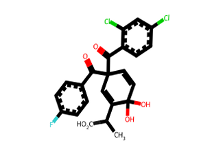 CC(C(=O)O)C1=CC(C(=O)c2ccc(F)cc2)(C(=O)c2ccc(Cl)cc2Cl)C=CC1(O)O